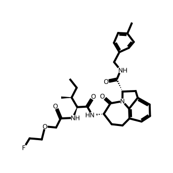 CC[C@H](C)[C@H](NC(=O)COCCF)C(=O)N[C@H]1CCc2cccc3c2N(C1=O)[C@H](C(=O)NCc1ccc(C)cc1)C3